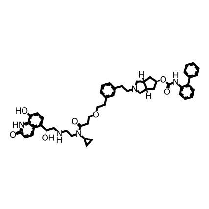 O=C(Nc1ccccc1-c1ccccc1)O[C@H]1C[C@@H]2CN(CCc3cccc(CCOCCC(=O)N(CCNC[C@H](O)c4ccc(O)c5[nH]c(=O)ccc45)C4CC4)c3)C[C@@H]2C1